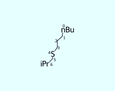 [CH2]CCCCCCSCC(C)C